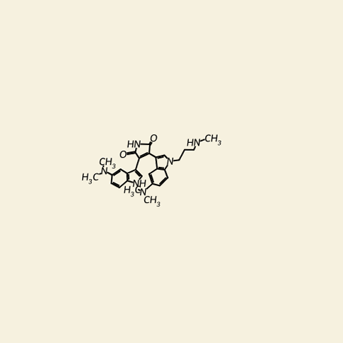 CNCCCn1cc(C2=C(c3c[nH]c4ccc(N(C)C)cc34)C(=O)NC2=O)c2cc(N(C)C)ccc21